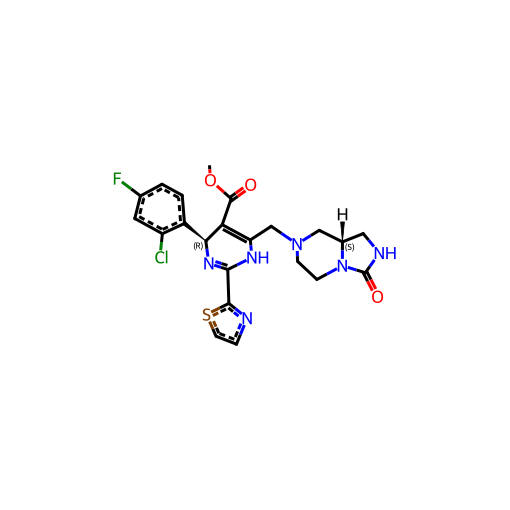 COC(=O)C1=C(CN2CCN3C(=O)NC[C@H]3C2)NC(c2nccs2)=N[C@H]1c1ccc(F)cc1Cl